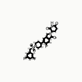 O=C1CCC(N2Cc3cc(C4CCN(S(=O)(=O)Cc5cc(F)cc(F)c5)CC4)c(F)cc3C2=O)C(=O)N1